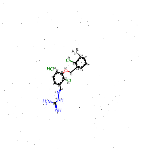 Cl.N=C(N)NN=Cc1cccc(OCc2cccc(C(F)(F)F)c2Cl)c1Cl